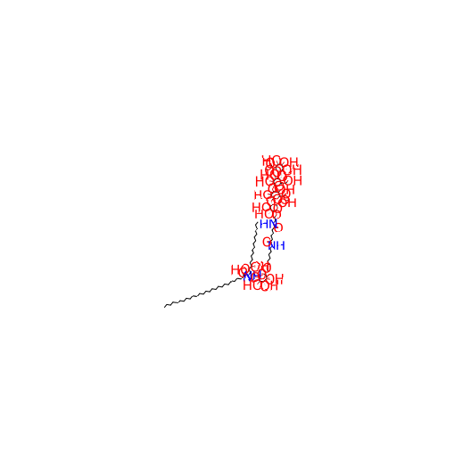 CCCCCCCCCCCCCCCCCCCCCCCCCC(=O)N[C@@H](CO[C@H]1O[C@H](COCCCCCCNC(=O)CCCCC(=O)NCCO[C@@H]2O[C@@H](CO)[C@@H](OC3OC(C(=O)OC)C(O)C(O[C@@H]4O[C@H](CO)[C@@H](O[C@@H]5O[C@H](C(=O)OC)[C@@H](O)[C@@H](O)[C@@H]5O)[C@H](O)[C@@H]4O)C3O)[C@@H](O)[C@H]2O)[C@@H](O)[C@H](O)[C@H]1O)[C@H](O)[C@H](O)CCCCCCCCCCCCCC